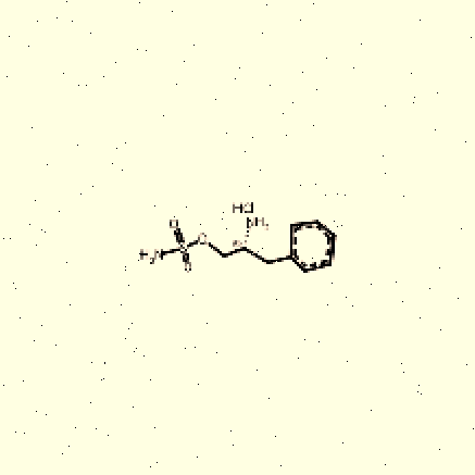 Cl.N[C@@H](COS(N)(=O)=O)Cc1ccccc1